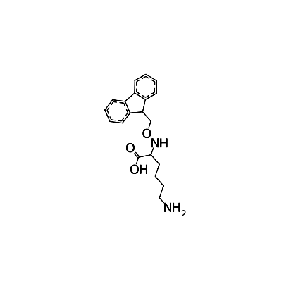 NCCCCC(NOCC1c2ccccc2-c2ccccc21)C(=O)O